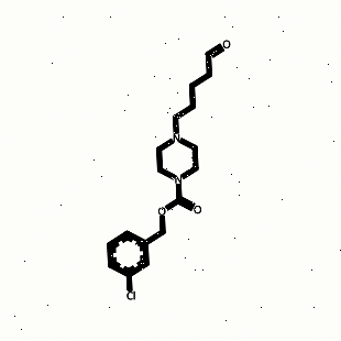 O=[C]CCCCN1CCN(C(=O)OCc2cccc(Cl)c2)CC1